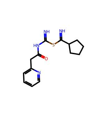 N=C(NC(=O)Cc1ccccn1)SC(=N)C1CCCC1